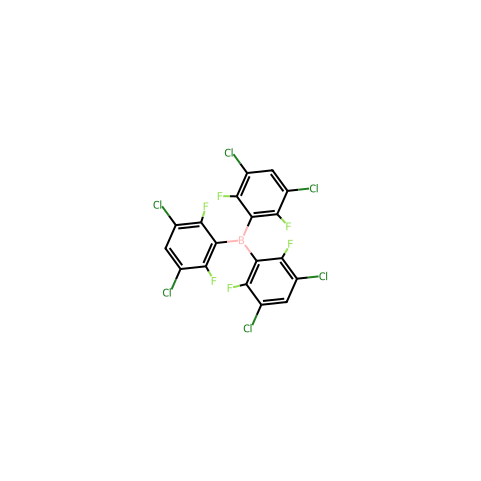 Fc1c(Cl)cc(Cl)c(F)c1B(c1c(F)c(Cl)cc(Cl)c1F)c1c(F)c(Cl)cc(Cl)c1F